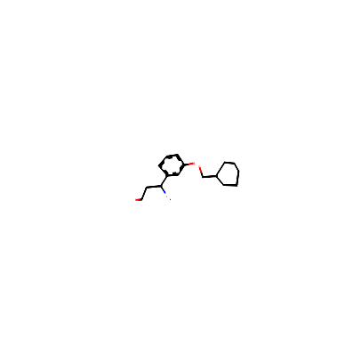 NC(CCO)c1cccc(OCC2CCCCC2)c1